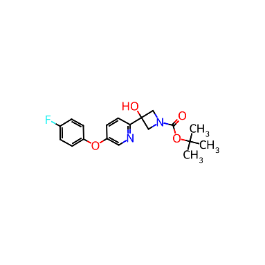 CC(C)(C)OC(=O)N1CC(O)(c2ccc(Oc3ccc(F)cc3)cn2)C1